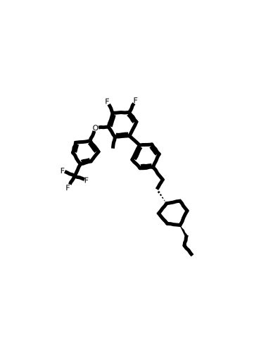 CCC[C@H]1CC[C@H](CCc2ccc(-c3cc(F)c(F)c(Oc4ccc(C(F)(F)F)cc4)c3C)cc2)CC1